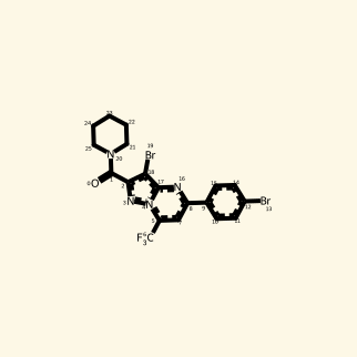 O=C(c1nn2c(C(F)(F)F)cc(-c3ccc(Br)cc3)nc2c1Br)N1CCCCC1